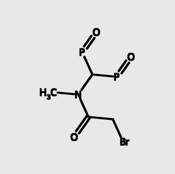 CN(C(=O)CBr)C(P=O)P=O